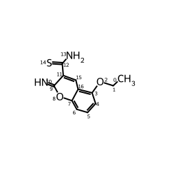 CCOc1cccc2oc(=N)c(C(N)=S)cc12